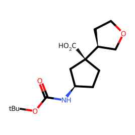 CC(C)(C)OC(=O)N[C@@H]1CC[C@@](C(=O)O)([C@H]2CCOC2)C1